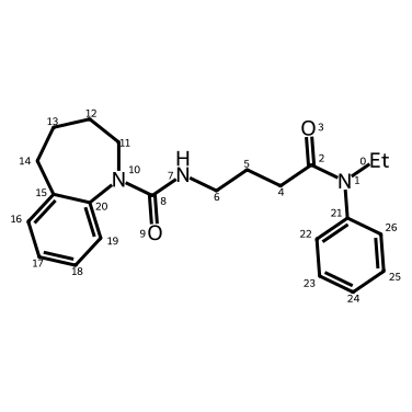 CCN(C(=O)CCCNC(=O)N1CCCCc2ccccc21)c1ccccc1